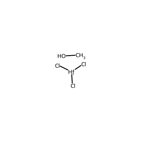 CO.[Cl][Hf]([Cl])[Cl]